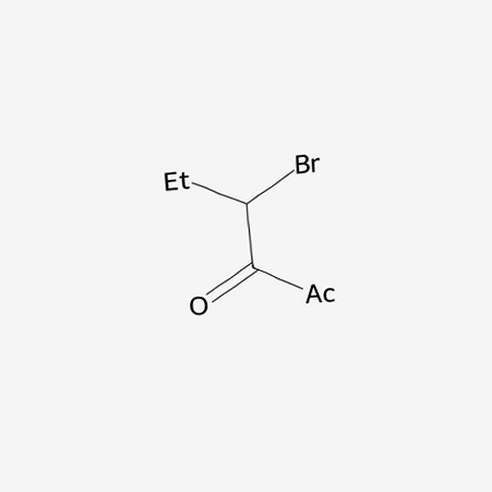 CCC(Br)C(=O)C(C)=O